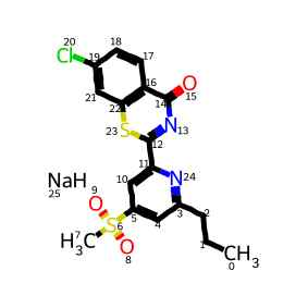 CCCc1cc(S(C)(=O)=O)cc(-c2nc(=O)c3ccc(Cl)cc3s2)n1.[NaH]